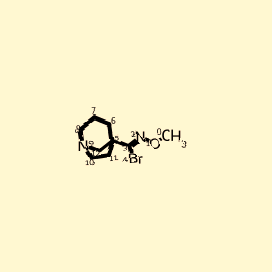 CON=C(Br)C12CCCN(CC1)C2